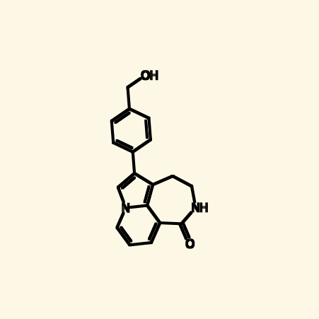 O=C1NCCc2c(-c3ccc(CO)cc3)cn3cccc1c23